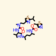 CC(CCC(C)NC(=O)C(NC(=O)N(C)CCc1csc(C(C)C)n1)C(C)C)NC(=O)OCc1cncs1